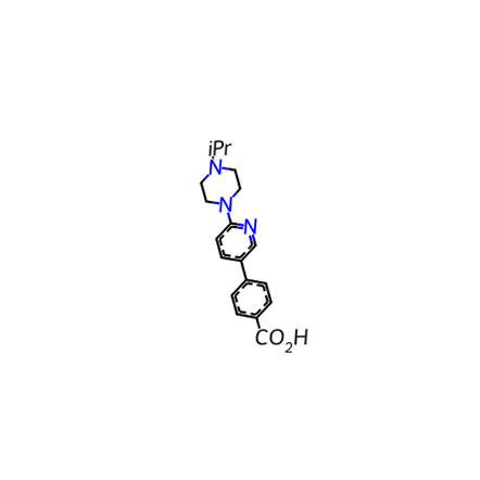 CC(C)N1CCN(c2ccc(-c3ccc(C(=O)O)cc3)cn2)CC1